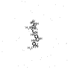 CCc1ccc(NC2=NCNC3=CNC(NC(=O)/C=C/C[N+](C)(C)CC4=C([N+](=O)[O-])NCN4)C=C32)cc1C(F)(F)F